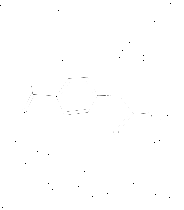 NC(=O)Cc1ccc(C(=O)C=O)cc1